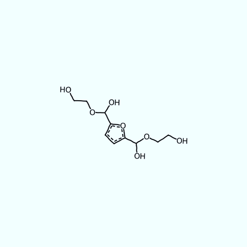 OCCOC(O)c1ccc(C(O)OCCO)o1